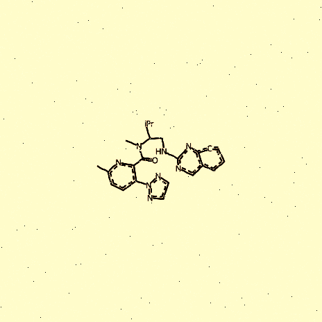 Cc1ccc(-n2nccn2)c(C(=O)N(C)C(CNc2ncc3ccccc3n2)C(C)C)n1